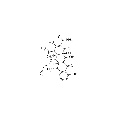 C=C1c2cccc(O)c2C(=O)C2=C(O)[C@@]3(O)C(=O)C(C(N)=O)=C(O)[C@H](N(C)C)[C@H]3[C@H](OOCC3CC3)[C@@H]12